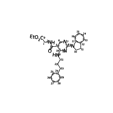 CCOC(=O)CNC(=O)c1cnc(N2CCc3ccccc32)nc1NCCCc1ccccc1